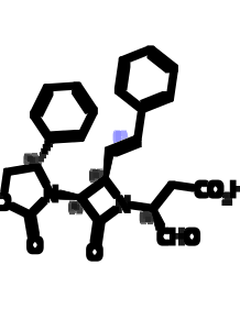 O=C[C@H](CC(=O)O)N1C(=O)[C@@H](N2C(=O)OC[C@@H]2c2ccccc2)[C@H]1/C=C/c1ccccc1